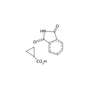 O=C(O)C1CC1.O=C1NC(=O)c2ccccc21